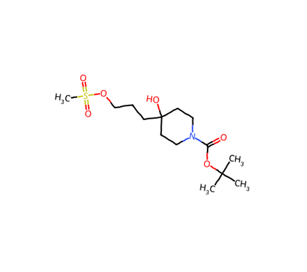 CC(C)(C)OC(=O)N1CCC(O)(CCCOS(C)(=O)=O)CC1